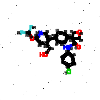 O=C(Nc1ccc(Cl)cc1)C1(c2ccc(-c3cnc(OC(F)F)cc3CO)cc2)COC1